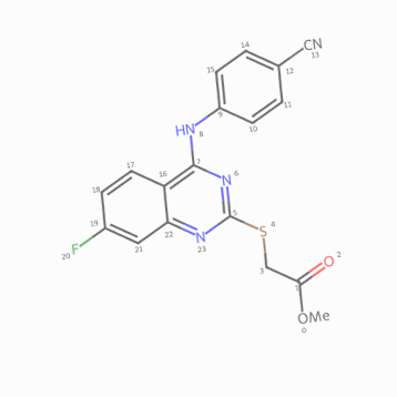 COC(=O)CSc1nc(Nc2ccc(C#N)cc2)c2ccc(F)cc2n1